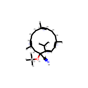 C/C1=C/C=C(\C(C)C)C(C#N)(O[Si](C)(C)C)C/C(C)=C\CC/C(C)=C\CC1